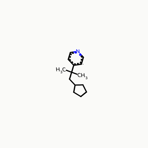 CC(C)(CC1CCCC1)c1[c]cncc1